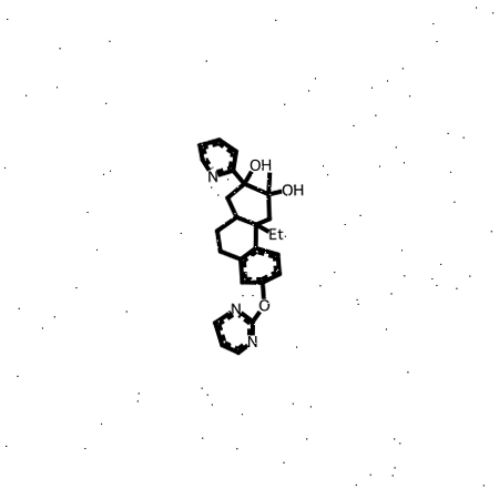 CCC12CC(C)(O)C(O)(c3ccccn3)CC1CCc1cc(Oc3ncccn3)ccc12